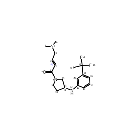 CN(C)C/C=C/C(=O)N1CC[C@H](Nc2cccc(C(F)(F)I)c2)C1